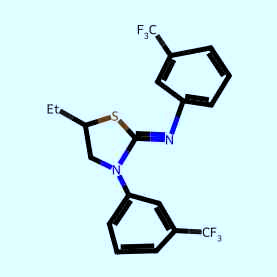 CCC1CN(c2cccc(C(F)(F)F)c2)C(=Nc2cccc(C(F)(F)F)c2)S1